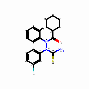 Cc1ccccc1N(C(=O)C1CCCCC1)N(C(N)=S)c1cccc(F)c1